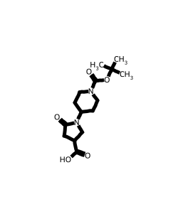 CC(C)(C)OC(=O)N1CCC(N2CC(C(=O)O)CC2=O)CC1